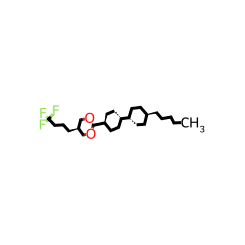 CCCCC[C@H]1CC[C@H]([C@H]2CC[C@H]([C@H]3OC[C@H](CCCC(F)(F)F)CO3)CC2)CC1